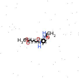 C=CC(=O)Nc1cccc(NC(=O)CCCCC(=O)OC)c1